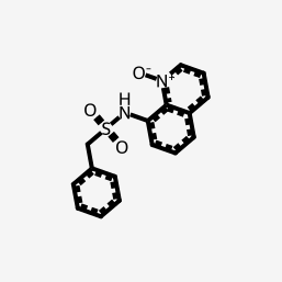 O=S(=O)(Cc1ccccc1)Nc1cccc2ccc[n+]([O-])c12